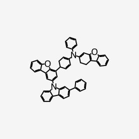 C1=CC(c2cc(-n3c4ccccc4c4ccc(-c5ccccc5)cc43)cc3c2oc2ccccc23)CC=C1N(C1=Cc2oc3ccccc3c2CC1)c1ccccc1